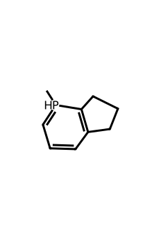 C[PH]1=CC=CC2=C1CCC2